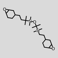 CC(C)(O[Si](C)(C)C(C)(C)CCC1CCC2OC2C1)[Si](C)(C)CCC1CCC2OC2C1